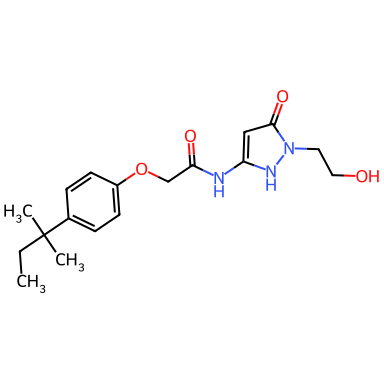 CCC(C)(C)c1ccc(OCC(=O)Nc2cc(=O)n(CCO)[nH]2)cc1